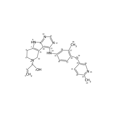 C=CC(O)N1CCc2[nH]c3ncnc(Nc4ccc(Oc5ccc(C)nc5)c(C)c4)c3c2C1